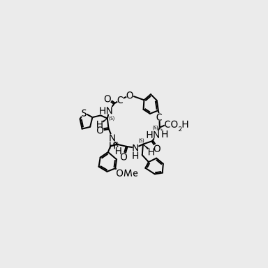 COc1cccc(C[C@H]2NC(=O)[C@H](CC3CC=CS3)NC(=O)COc3ccc(cc3)C[C@@H](C(=O)O)NC(=O)[C@H](Cc3ccccc3)NC2=O)c1